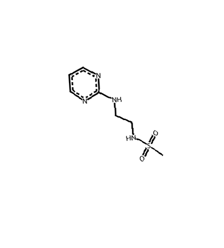 CS(=O)(=O)NCCNc1ncccn1